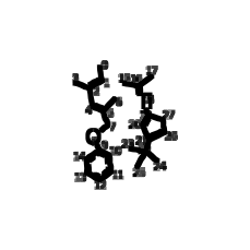 CC=C(C)C=C(C)COc1ccccc1.C[C](C)=[Ti][C]1=CC(C(C)(C)C)=CC1